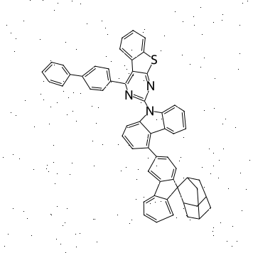 c1ccc(-c2ccc(-c3nc(-n4c5ccccc5c5c(-c6ccc7c(c6)-c6ccccc6C76C7CC8CC(C7)CC6C8)cccc54)nc4sc5ccccc5c34)cc2)cc1